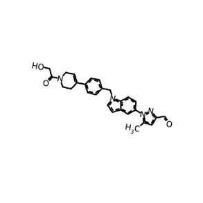 Cc1cc(C=O)nn1-c1ccc2c(ccn2Cc2ccc(C3=CCN(C(=O)CO)CC3)cc2)c1